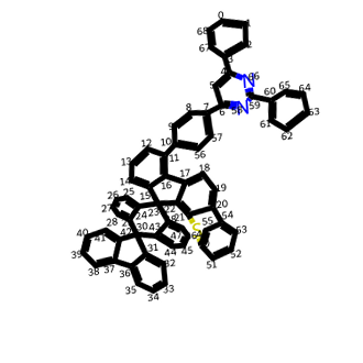 c1ccc(-c2cc(-c3ccc(-c4cccc5c4-c4ccc6c(c4C54c5ccccc5C5(c7ccccc7-c7ccccc75)c5ccccc54)Sc4cccc-6c4)cc3)nc(-c3ccccc3)n2)cc1